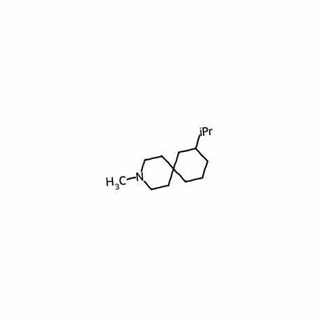 CC(C)C1CCCC2(CCN(C)CC2)C1